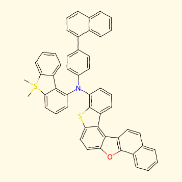 CS1(C)c2ccccc2-c2c(N(c3ccc(-c4cccc5ccccc45)cc3)c3cccc4c3sc3ccc5oc6c7ccccc7ccc6c5c34)cccc21